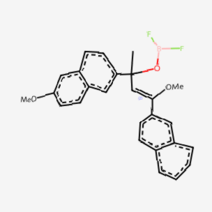 CO/C(=C\C(C)(OB(F)F)c1ccc2cc(OC)ccc2c1)c1ccc2ccccc2c1